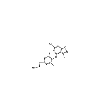 Cc1cc(/C=C/C#N)cc(C)c1Oc1nc(Cl)nc2onc(C)c12